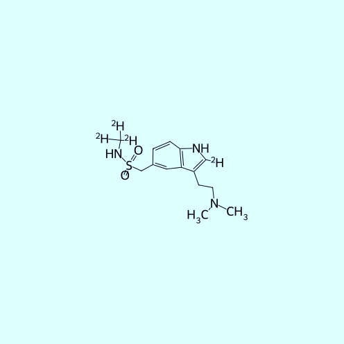 [2H]c1[nH]c2ccc(CS(=O)(=O)NC([2H])([2H])[2H])cc2c1CCN(C)C